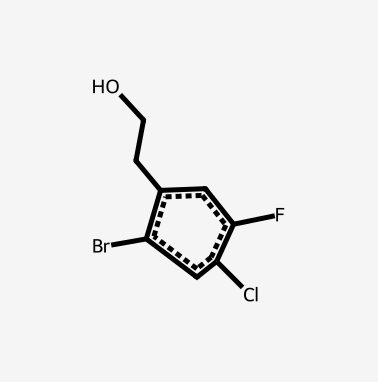 OCCc1cc(F)c(Cl)cc1Br